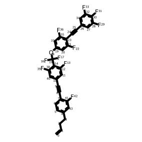 C=CCCc1ccc(C#Cc2cc(F)c(C(F)(F)Oc3cc(F)c(C#Cc4cc(F)c(F)c(F)c4)c(F)c3)c(F)c2)c(F)c1